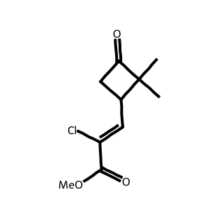 COC(=O)C(Cl)=CC1CC(=O)C1(C)C